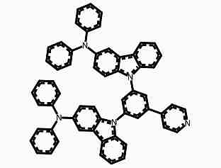 c1ccc(N(c2ccccc2)c2ccc3c(c2)c2ccccc2n3-c2cc(-c3ccncc3)cc(-n3c4ccccc4c4cc(N(c5ccccc5)c5ccccc5)ccc43)c2)cc1